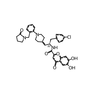 O=C(N[C@@H](C=C1CCN(c2ccccc2CN2CCCC2=O)CC1)Cc1ccc(Cl)cc1)c1cc(=O)c2cc(O)c(O)cc2o1